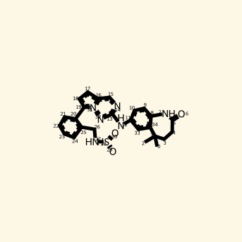 CC1(C)CCC(=O)Nc2ccc(Nc3ncc4ccc(-c5ccccc5CN[SH](=O)=O)n4n3)cc21